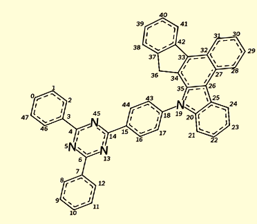 c1ccc(-c2nc(-c3ccccc3)nc(-c3ccc(-n4c5ccccc5c5c6ccccc6c6c(c54)Cc4ccccc4-6)cc3)n2)cc1